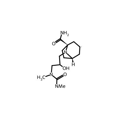 CNC(=O)N(C)CC(O)CN1[C@@H]2C[CH]C[C@@]1(C(N)=O)CC2